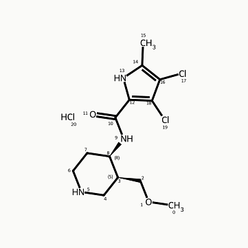 COC[C@H]1CNCC[C@H]1NC(=O)c1[nH]c(C)c(Cl)c1Cl.Cl